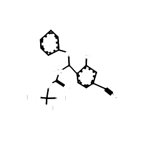 CC(C)(C)OC(=O)NC(Sc1ccccc1)c1ccc(C#N)cc1Br